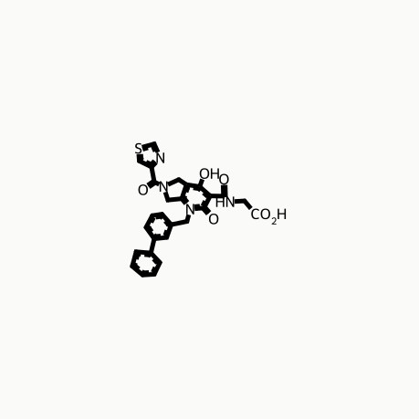 O=C(O)CNC(=O)c1c(O)c2c(n(Cc3cccc(-c4ccccc4)c3)c1=O)CN(C(=O)c1cscn1)C2